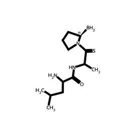 B[C@@H]1CCCN1C(=S)C(C)NC(=O)C(N)CC(C)C